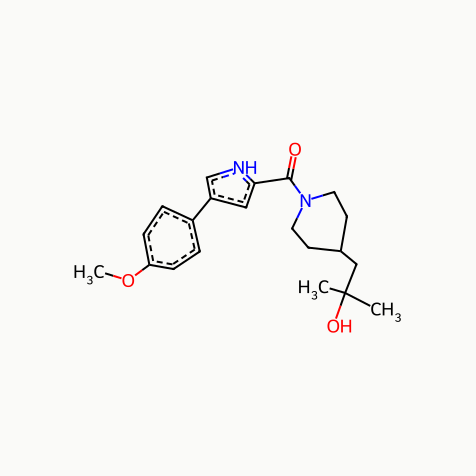 COc1ccc(-c2c[nH]c(C(=O)N3CCC(CC(C)(C)O)CC3)c2)cc1